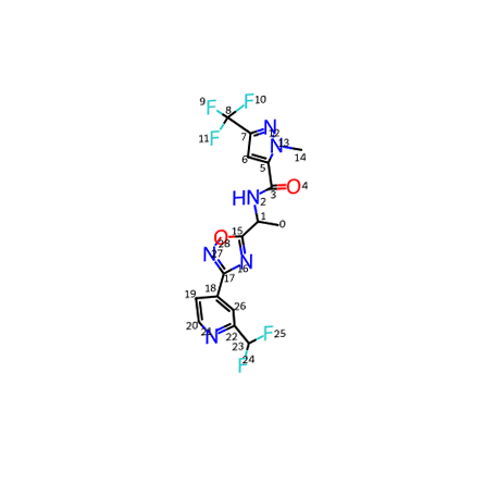 CC(NC(=O)c1cc(C(F)(F)F)nn1C)c1nc(-c2ccnc(C(F)F)c2)no1